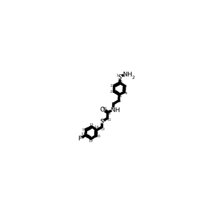 NSc1ccc(CCNC(=O)CSCc2ccc(F)cc2)cc1